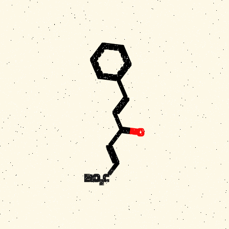 CCOC(=O)/C=C/C(=O)/C=C/c1ccccc1